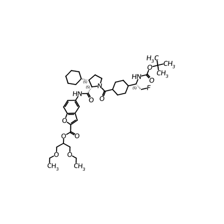 CCOCC(COCC)OC(=O)c1cc2cc(NC(=O)[C@@H]3[C@H](C4CCCCC4)CCN3C(=O)C3CCC([C@@H](CF)NC(=O)OC(C)(C)C)CC3)ccc2o1